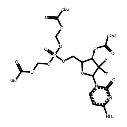 CCCCCCCCC(=O)O[C@@H]1C(COP(=O)(OCOC(=O)C(C)(C)C)OCOC(=O)C(C)(C)C)OC(n2ccc(N)nc2=O)C1(F)F